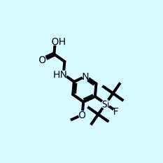 COc1cc(NCC(=O)O)ncc1[Si](F)(C(C)(C)C)C(C)(C)C